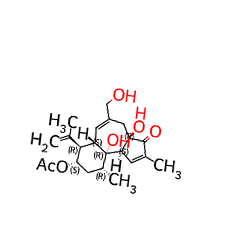 C=C(C)[C@@H]1[C@@H](OC(C)=O)C[C@@H](C)[C@@]2(O)[C@H]1C=C(CO)C[C@]1(O)C(=O)C(C)=C[C@@H]21